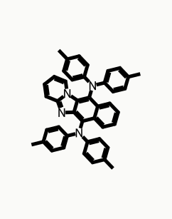 Cc1ccc(N(c2ccc(C)cc2)c2c3ccccc3c(N(c3ccc(C)cc3)c3ccc(C)cc3)c3c2nc2ccccn23)cc1